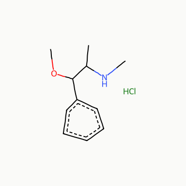 CNC(C)C(OC)c1ccccc1.Cl